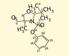 CC(C)(C)C1OCC(C)(C=O)N1C(=O)Oc1ccccc1